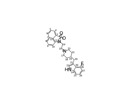 O=S1(=O)c2cccc3cccc(c23)N1CCN1CCC(Cc2c[nH]c3cccc(F)c23)CC1